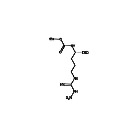 CC(C)(C)OC(=O)N[C@H](C=O)CCCNC(=N)N[N+](=O)[O-]